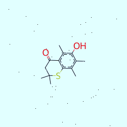 Cc1c(C)c2c(c(C)c1O)C(=O)CC(C)(C)S2